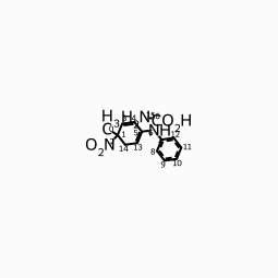 CC1([N+](=O)[O-])C=CC(Nc2ccccc2)=CC1.NC(=O)O